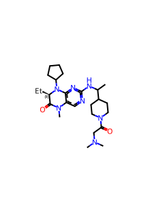 CC[C@@H]1C(=O)N(C)c2cnc(NC(C)C3CCN(C(=O)CN(C)C)CC3)nc2N1C1CCCC1